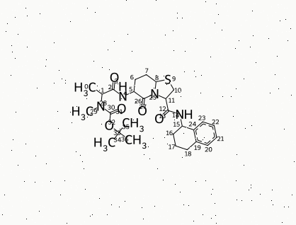 CC(C(=O)NC1CCC2SCC(C(=O)NC3CCCc4ccccc43)N2C1=O)N(C)C(=O)OC(C)(C)C